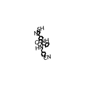 N#Cc1ccc(CCNC(C(=O)Nc2ccc(-c3cnn(S)c3)cc2Cl)c2ccccc2)cc1